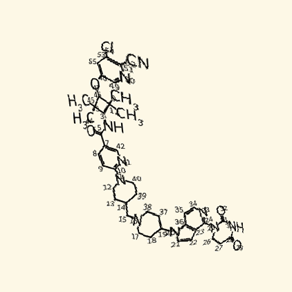 CC1(C)[C@H](NC(=O)c2ccc(N3CCC(CN4CCC(n5ccc6c(N7CCC(=O)NC7=O)nccc65)CC4)CC3)nc2)C(C)(C)[C@H]1Oc1cnc(C#N)c(Cl)c1